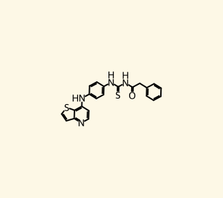 O=C(Cc1ccccc1)NC(=S)Nc1ccc(Nc2ccnc3ccsc23)cc1